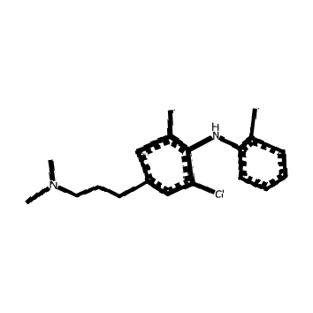 [CH2]c1ccccc1Nc1c([CH2])cc(CCCN(C)C)cc1Cl